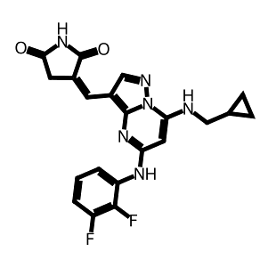 O=C1CC(=Cc2cnn3c(NCC4CC4)cc(Nc4cccc(F)c4F)nc23)C(=O)N1